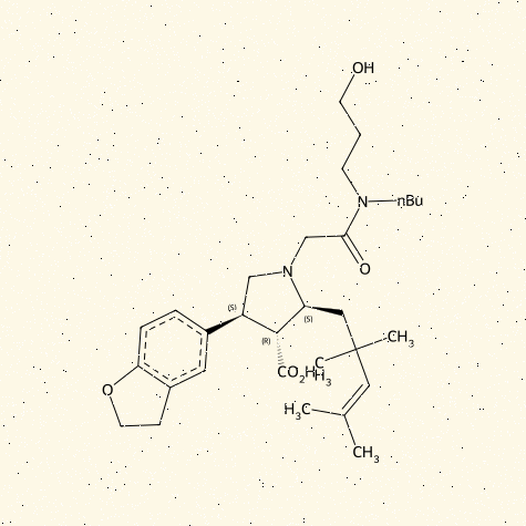 CCCCN(CCCO)C(=O)CN1C[C@H](c2ccc3c(c2)CCO3)[C@@H](C(=O)O)[C@@H]1CC(C)(C)C=C(C)C